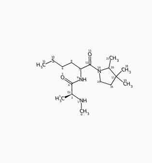 CN[C@@H](C)C(=O)NC(CCSC)C(=O)N1CCC(C)(C)C1C